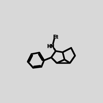 CCNC1C2CCC3C2C3C1c1ccccc1